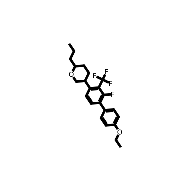 CCCC1CCC(c2ccc(-c3ccc(OCC)cc3)c(F)c2C(F)(F)F)CO1